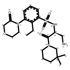 CCc1c(N2CCOCC2=O)cccc1S(=O)(=O)N[C@@H](CN)C(=O)N1CCCC(C)(C)C1